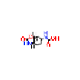 O=C(O)N[C@@H]1CC[C@H]2NC(=O)O[C@@H]2C1